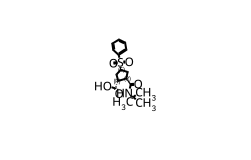 CC(C)(C)NC(=O)[C@@H]1C[C@H](S(=O)(=O)c2ccccc2)C[C@H]1C(=O)O